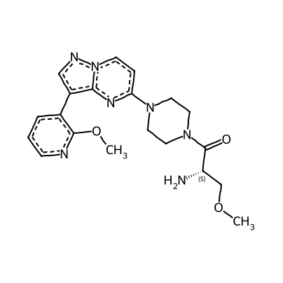 COC[C@H](N)C(=O)N1CCN(c2ccn3ncc(-c4cccnc4OC)c3n2)CC1